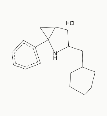 Cl.c1ccc(C23CC2CC(CC2CCCCC2)N3)cc1